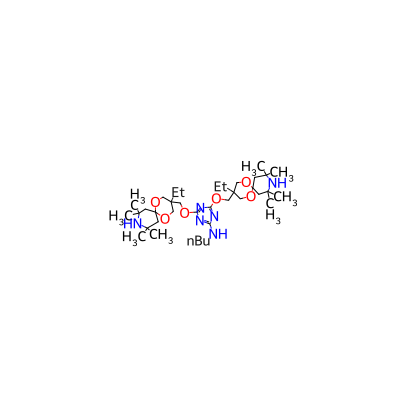 CCCCNc1nc(OCC2(CC)COC3(CC(C)(C)NC(C)(C)C3)OC2)nc(OCC2(CC)COC3(CC(C)(C)NC(C)(C)C3)OC2)n1